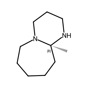 C[C@]12CCCCCN1CCCN2